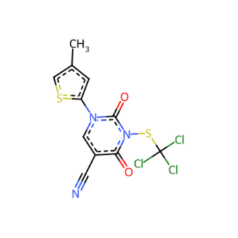 Cc1csc(-n2cc(C#N)c(=O)n(SC(Cl)(Cl)Cl)c2=O)c1